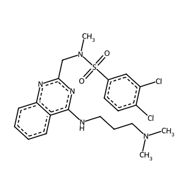 CN(C)CCCNc1nc(CN(C)S(=O)(=O)c2ccc(Cl)c(Cl)c2)nc2ccccc12